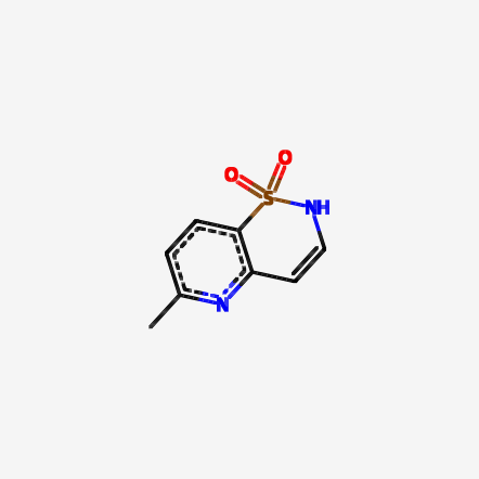 Cc1ccc2c(n1)C=CNS2(=O)=O